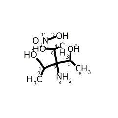 CC(O)C(N)(C(C)O)C(C)O.O=[N+]([O-])O